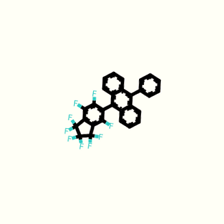 Fc1c(F)c2c(c(F)c1-c1c3ccccc3c(-c3ccccc3)c3ccccc13)C(F)(F)C(F)(F)C2(F)F